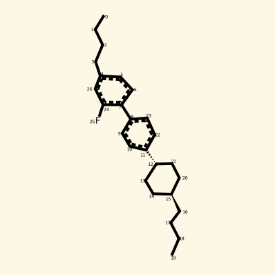 CCCCc1ccc(-c2ccc([C@H]3CC[C@H](CCCC)CC3)cc2)c(F)c1